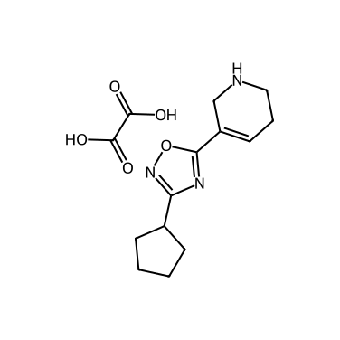 C1=C(c2nc(C3CCCC3)no2)CNCC1.O=C(O)C(=O)O